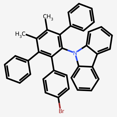 Cc1c(C)c(-c2ccccc2)c(-n2c3ccccc3c3ccccc32)c(-c2ccc(Br)cc2)c1-c1ccccc1